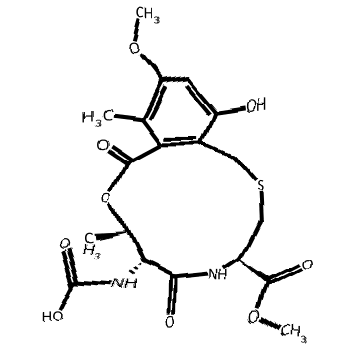 COC(=O)[C@@H]1CSCc2c(O)cc(OC)c(C)c2C(=O)O[C@H](C)[C@@H](NC(=O)O)C(=O)N1